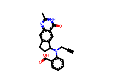 C#CCN(c1ccccc1C(=O)O)C1CCc2cc3nc(C)[nH]c(=O)c3cc21